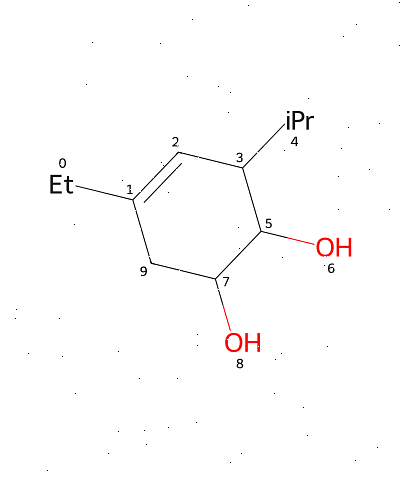 CCC1=CC(C(C)C)C(O)C(O)C1